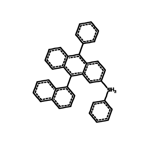 c1ccc([SiH2]c2ccc3c(-c4ccccc4)c4ccccc4c(-c4cccc5ccccc45)c3c2)cc1